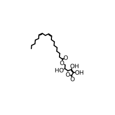 CCCCC/C=C\C/C=C\CCCCCCCC(=O)OC[C@H](O)[C@H]1OC(=O)C(O)=C1O